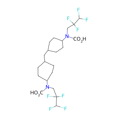 O=C(O)N(CC(F)(F)C(F)F)C1CCC(CC2CCC(N(CC(F)(F)C(F)F)C(=O)O)CC2)CC1